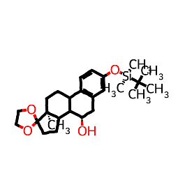 CC(C)(C)[Si](C)(C)Oc1ccc2c(c1)C[C@@H](O)C1C2CC[C@@]2(C)C1CCC21OCCO1